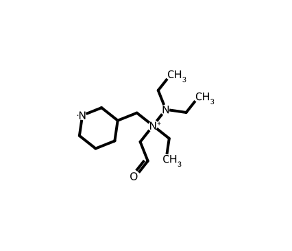 CCN(CC)[N+](CC)(CC=O)CC1CCC[N]C1